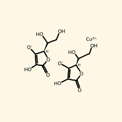 O=C1O[C@H](C(O)CO)C([O-])=C1O.O=C1O[C@H](C(O)CO)C([O-])=C1O.[Cu+2]